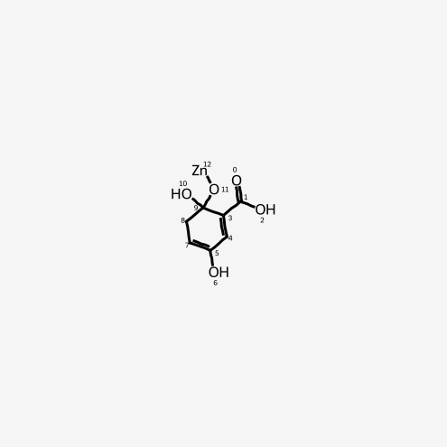 O=C(O)C1=CC(O)=CCC1(O)[O][Zn]